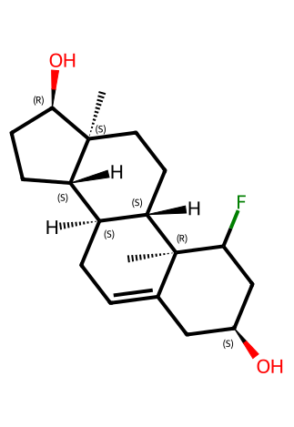 C[C@]12CC[C@H]3[C@@H](CC=C4C[C@H](O)CC(F)[C@@]43C)[C@@H]1CC[C@H]2O